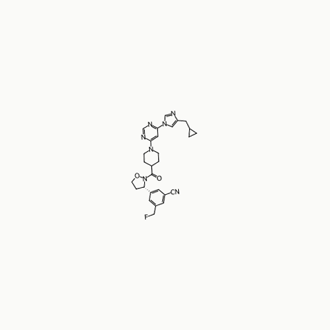 N#Cc1cc(CF)cc([C@@H]2CCON2C(=O)C2CCN(c3cc(-n4cnc(CC5CC5)c4)ncn3)CC2)c1